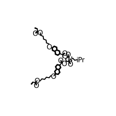 C=CC(=O)OCCCCCCOc1ccc2cc(C(=O)C[C@H]3C(=O)N(CCC(C)C)C(=O)[C@@H]3OC(=O)c3ccc4cc(OCCCCCCOC(=O)C=C)ccc4c3)ccc2c1